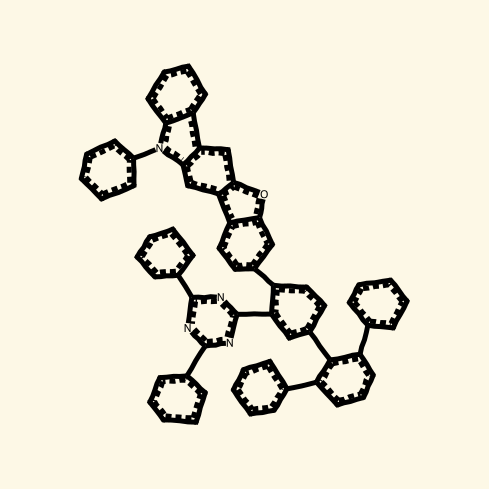 c1ccc(-c2nc(-c3ccccc3)nc(-c3cc(-c4c(-c5ccccc5)cccc4-c4ccccc4)ccc3-c3ccc4c(c3)oc3cc5c6ccccc6n(-c6ccccc6)c5cc34)n2)cc1